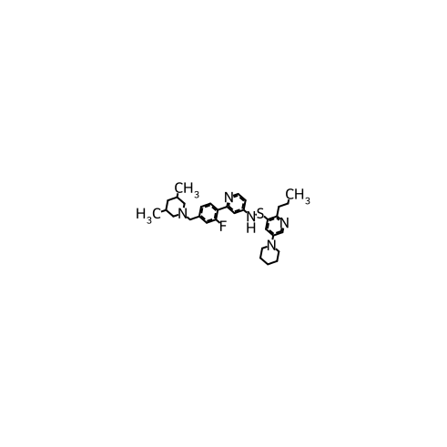 CCCc1ncc(N2CCCCC2)cc1SNc1ccnc(-c2ccc(CN3CC(C)CC(C)C3)cc2F)c1